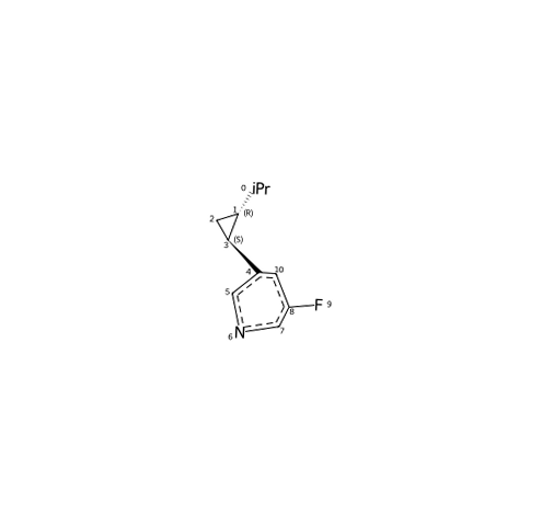 CC(C)[C@H]1C[C@@H]1c1cncc(F)c1